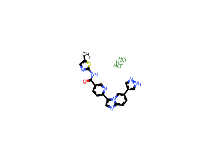 Cc1cnc(NC(=O)c2ccc(-c3cnc4ccc(-c5cn[nH]c5)cn34)nc2)s1.Cl.Cl.Cl